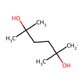 [CH2]C(C)(O)CCC(C)(C)O